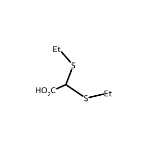 CCSC(SCC)C(=O)O